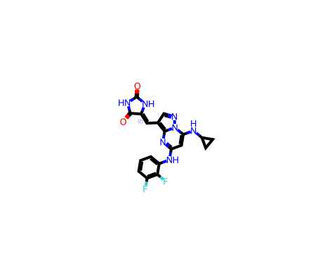 O=C1NC(=O)/C(=C/c2cnn3c(NC4CC4)cc(Nc4cccc(F)c4F)nc23)N1